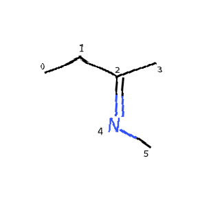 CCC(C)=NC